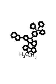 CC1(C)c2ccccc2-c2c(-c3c4ccccc4c(-c4ccc([Si](c5ccccc5)(c5ccccc5)c5ccccc5)cc4)c4ccc(-c5ccc6ccccc6c5)cc34)cccc21